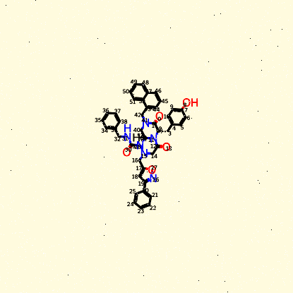 O=C1[C@H](Cc2ccc(O)cc2)N2C(=O)CN(Cc3cc(-c4ccccc4)no3)N(C(=O)NCc3ccccc3)[C@H]2CN1Cc1cccc2ccccc12